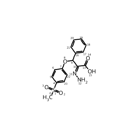 CS(=O)(=O)c1ccc(OC(C(=NN)C(=O)O)c2ccccc2)cc1